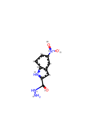 NNC(=O)c1cc2cc([N+](=O)[O-])ccc2[nH]1